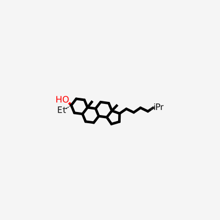 CC[C@]1(O)CCC2(C)C(CCC3C4CCC(CCCCC(C)C)C4(C)CCC32)C1